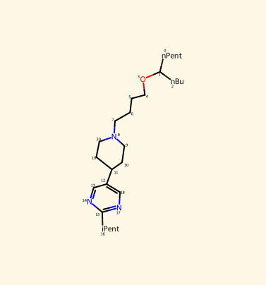 CCCCCC(CCCC)OCCCCN1CCC(c2cnc(C(C)CCC)nc2)CC1